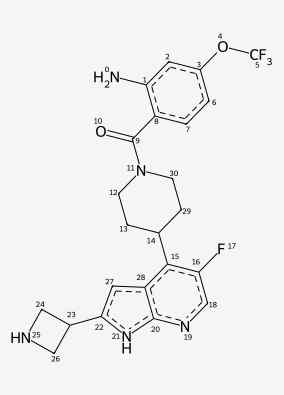 Nc1cc(OC(F)(F)F)ccc1C(=O)N1CCC(c2c(F)cnc3[nH]c(C4CNC4)cc23)CC1